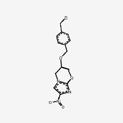 O=[N+]([O-])c1cn2c(n1)OCC(OCc1ccc(CCl)cc1)C2